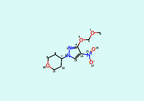 COCOc1nn(C2CCOCC2)cc1[N+](=O)[O-]